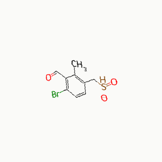 Cc1c(C[SH](=O)=O)ccc(Br)c1C=O